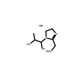 Br.CCCCCCCCCCC1=NCCN1C(CCC)C(C)O